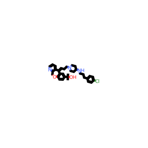 CC(C)(O)c1ccc2c(c1)C(=CCCN1CCC(NCCCc3ccc(Cl)cc3)CC1)c1cccnc1CO2